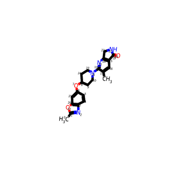 Cc1nc2ccc(OC3CCN(c4nc5c(cc4C)C(=O)NC5)CC3)cc2o1